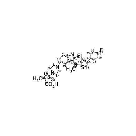 CCc1nc2ccc(N3CCN(S(=O)(=O)C(C)C(=O)O)CC3)cn2c1N(C)c1nc(-c2ccc(F)cc2)cs1